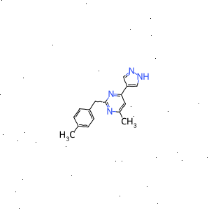 Cc1ccc(Cc2nc(C)cc(-c3cn[nH]c3)n2)cc1